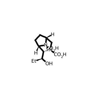 CC[C@H](O)[C@@H]1[C@@H]2CC[C@H](CN1C(=O)O)N2C(=O)O